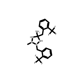 CN1NC(N)(Cc2ccccc2C(F)(F)F)NN1Cc1ccccc1C(F)(F)F